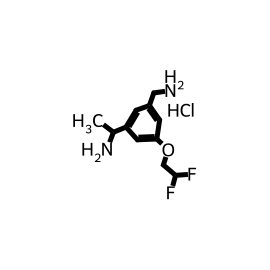 CC(N)c1cc(CN)cc(OCC(F)F)c1.Cl